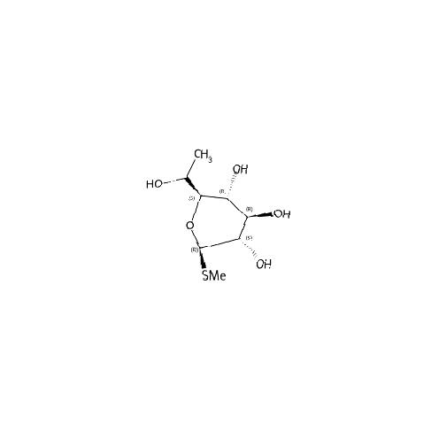 CS[C@H]1O[C@@H](C(C)O)[C@H](O)[C@@H](O)[C@@H]1O